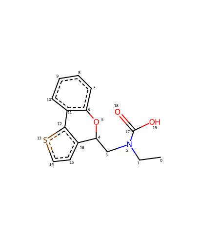 CCN(CC1Oc2ccccc2-c2sccc21)C(=O)O